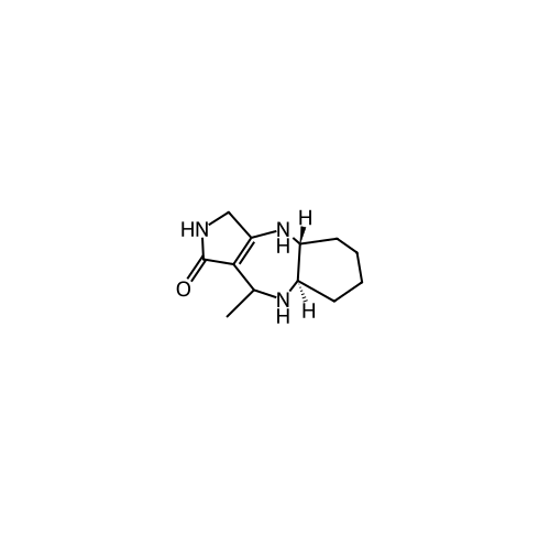 CC1N[C@@H]2CCCC[C@H]2NC2=C1C(=O)NC2